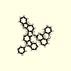 c1ccc(-n2c3ccccc3c3c2ccc2c4c5sc6ccccc6c5ccc4n(-c4nc5c6c(cccc6n4)Oc4ccccc4-5)c23)cc1